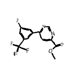 COC(=O)c1cc(-c2cc(F)cc(C(F)(F)F)c2)ncn1